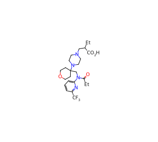 CCC(=O)N(CC1(N2CCN(CC(CC)C(=O)O)CC2)CCOCC1)c1cccc(C(F)(F)F)n1